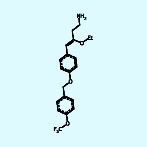 CCOC(=Cc1ccc(OCc2ccc(OC(F)(F)F)cc2)cc1)CCN